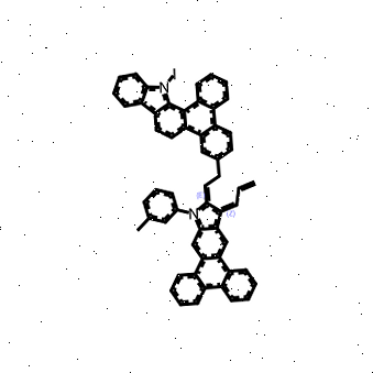 C=C/C=c1\c(=C/Cc2ccc3c4ccccc4c4c(ccc5c6ccccc6n(I)c54)c3c2)n(-c2cccc(C)c2)c2cc3c4ccccc4c4ccccc4c3cc12